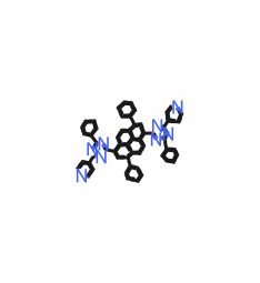 c1ccc(-c2nc(-c3ccncc3)nc(-c3cc(-c4ccccc4)c4ccc5c(-c6nc(-c7ccccc7)nc(-c7ccncc7)n6)cc(-c6ccccc6)c6ccc3c4c65)n2)cc1